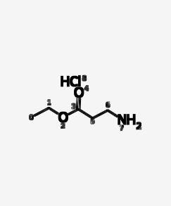 CCOC(=O)CCN.Cl